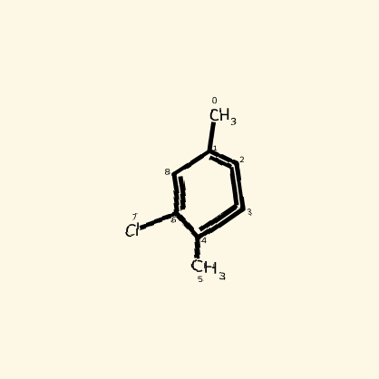 CC1=C=C=C(C)C(Cl)=C1